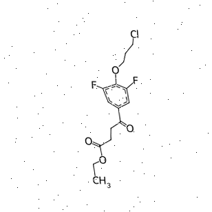 CCOC(=O)CCC(=O)c1cc(F)c(OCCCCl)c(F)c1